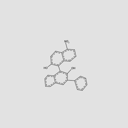 O=[N+]([O-])c1cccc2c(-c3c(O)c(-c4ccccc4)cc4ccccc34)c(O)ccc12